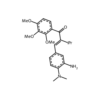 COc1ccc(C(=O)C(=Cc2ccc(N(C)C)c(N)c2)C(C)C)c(OC)c1OC